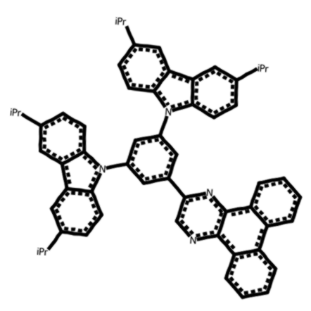 CC(C)c1ccc2c(c1)c1cc(C(C)C)ccc1n2-c1cc(-c2cnc3c4ccccc4c4ccccc4c3n2)cc(-n2c3ccc(C(C)C)cc3c3cc(C(C)C)ccc32)c1